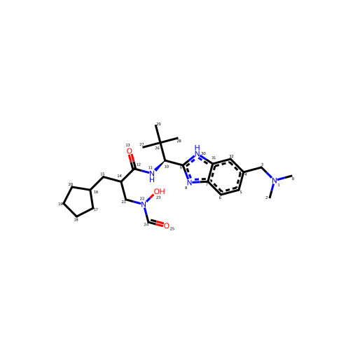 CN(C)Cc1ccc2nc([C@@H](NC(=O)C(CC3CCCC3)CN(O)C=O)C(C)(C)C)[nH]c2c1